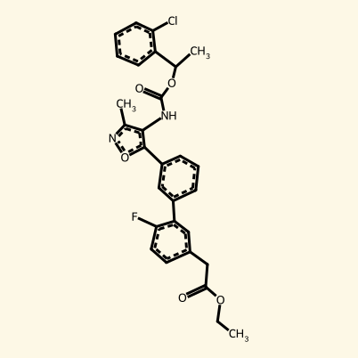 CCOC(=O)Cc1ccc(F)c(-c2cccc(-c3onc(C)c3NC(=O)OC(C)c3ccccc3Cl)c2)c1